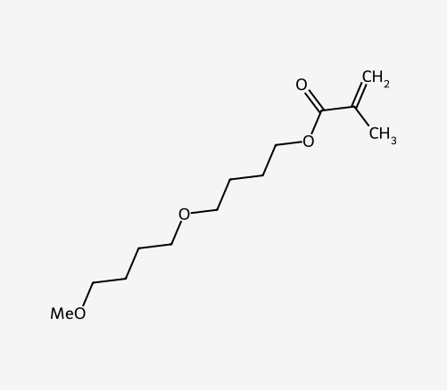 C=C(C)C(=O)OCCCCOCCCCOC